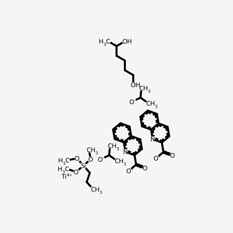 CC(C)[O-].CC(C)[O-].CC(O)CCCCO.CCC[Si](OC)(OC)OC.O=C([O-])c1ccc2ccccc2n1.O=C([O-])c1ccc2ccccc2n1.[Ti+4]